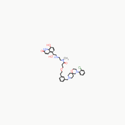 CN(CCNC[C@H](O)c1ccc(O)c2[nH]c(=O)ccc12)C(=O)CCOCCc1cccc(CN2CCC3(CC2)CN(c2ccccc2Cl)CCO3)c1